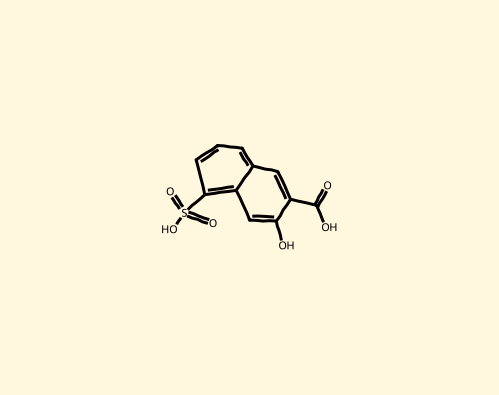 O=C(O)c1cc2cccc(S(=O)(=O)O)c2cc1O